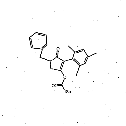 Cc1cc(C)c(C2=C(OC(=O)C(C)(C)C)CC(Cc3ccccc3)C2=O)c(C)c1